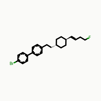 FCCC=C[C@H]1CC[C@H](CCc2ccc(-c3ccc(Br)cc3)cc2)CC1